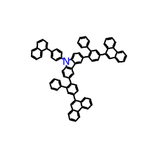 c1ccc(-c2cc(-c3cc4ccccc4c4ccccc34)ccc2-c2ccc3c(c2)c2cc(-c4ccc(-c5cc6ccccc6c6ccccc56)cc4-c4ccccc4)ccc2n3-c2ccc(-c3cccc4ccccc34)cc2)cc1